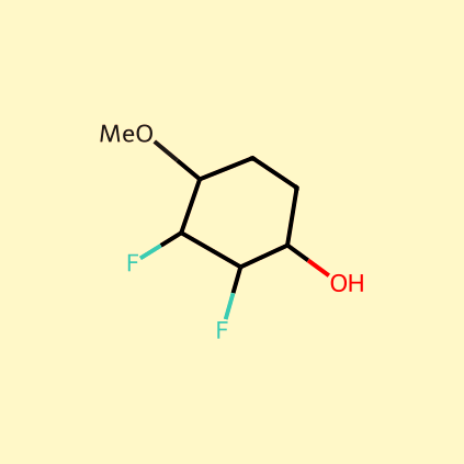 COC1CCC(O)C(F)C1F